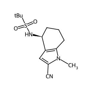 Cn1c(C#N)cc2c1CCC[C@@H]2NS(=O)(=O)C(C)(C)C